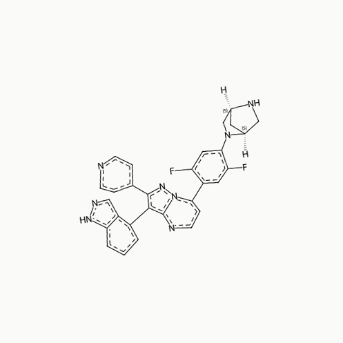 Fc1cc(N2C[C@@H]3C[C@H]2CN3)c(F)cc1-c1ccnc2c(-c3cccc4[nH]ncc34)c(-c3ccncc3)nn12